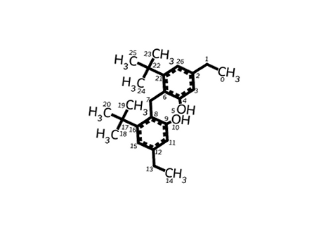 CCc1cc(O)c(Cc2c(O)cc(CC)cc2C(C)(C)C)c(C(C)(C)C)c1